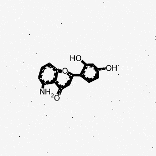 Nc1cccc2oc(-c3ccc(O)cc3O)cc(=O)c12